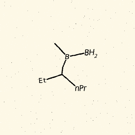 BB(C)C(CC)CCC